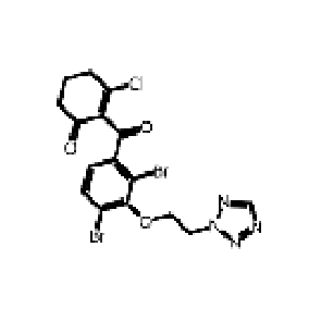 O=C1CCCC(Cl)=C1C(=O)c1ccc(Br)c(OCCn2ncnn2)c1Br